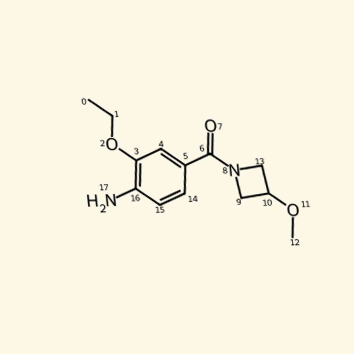 CCOc1cc(C(=O)N2CC(OC)C2)ccc1N